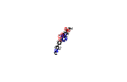 [C-]#[N+]c1ccc(-c2ccc(Oc3ncnc(N4CCC(C(=O)OCC)CC4)c3[N+](=O)[O-])cc2)cc1